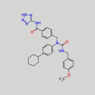 O=C(Nc1nn[nH]n1)c1ccc(CN(C(=O)NCc2ccc(OC(F)(F)F)cc2)c2ccc(C3CCCCC3)cc2)cc1